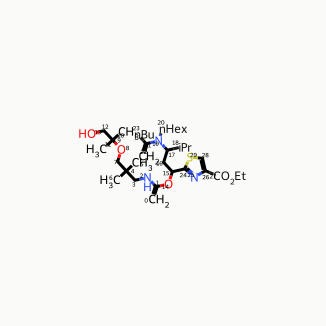 C=C(NCC(C)(C)COC(C)(C)CO)OC(CC(C(C)C)N(CCCCCC)C(=C)CCCC)c1nc(C(=O)OCC)cs1